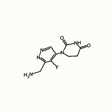 NCc1nncc(N2CCC(=O)NC2=O)c1F